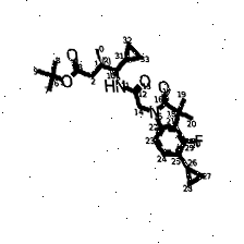 C[C@H](CC(=O)OC(C)(C)C)[C@H](NC(=O)CN1C(=O)C(C)(C)c2c1ccc(C1CC1)c2F)C1CC1